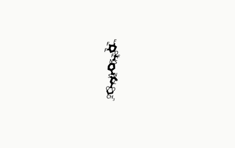 CC1COC(c2ccc3nc(-c4ccc5nc(C(F)(F)Oc6cc(F)c(F)c(F)c6)sc5c4)sc3c2)OC1